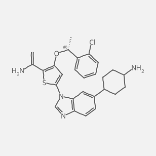 C=C(N)c1sc(-n2cnc3ccc(C4CCC(N)CC4)cc32)cc1O[C@H](C)c1ccccc1Cl